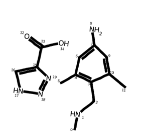 CNCc1c(C)cc(N)cc1C.O=C(O)c1c[nH]nn1